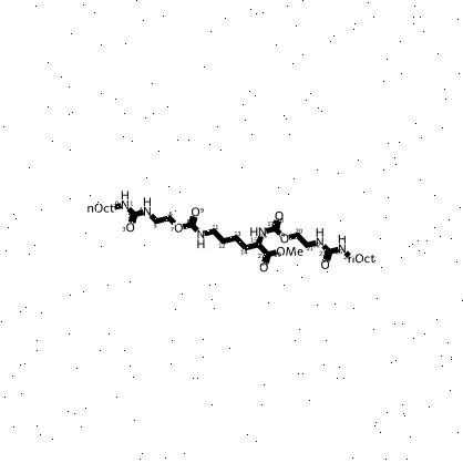 CCCCCCCCNC(=O)NCCOC(=O)NCCCCC(NC(=O)OCCNC(=O)NCCCCCCCC)C(=O)OC